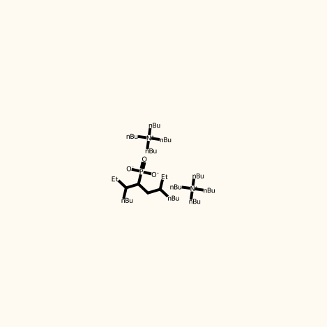 CCCCC(CC)CC(C(CC)CCCC)P(=O)([O-])[O-].CCCC[N+](CCCC)(CCCC)CCCC.CCCC[N+](CCCC)(CCCC)CCCC